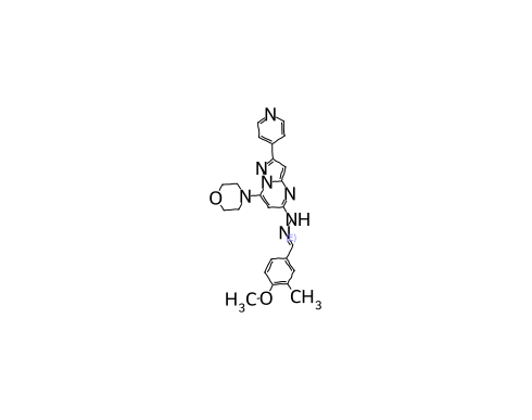 COc1ccc(/C=N/Nc2cc(N3CCOCC3)n3nc(-c4ccncc4)cc3n2)cc1C